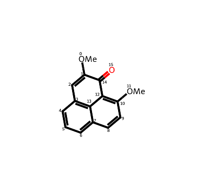 COC1=Cc2cccc3ccc(OC)c(c23)C1=O